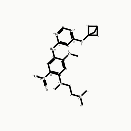 COc1cc(N(C)CCN(C)C)c([N+](=O)[O-])cc1Nc1cc(NC23CC(C2)C3)ncn1